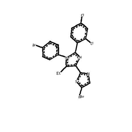 CCc1c(-c2ncc(C(C)(C)C)s2)nc(-c2ccc(Cl)cc2Cl)n1-c1ccc(Br)cc1